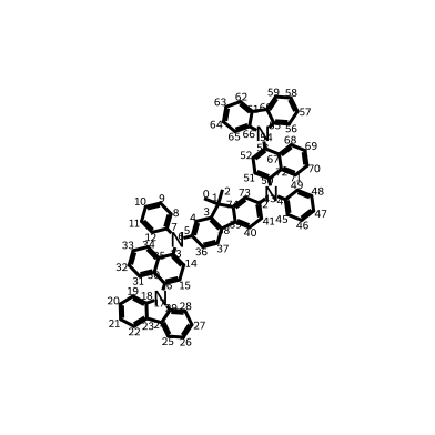 CC1(C)c2cc(N(c3ccccc3)c3ccc(-n4c5ccccc5c5ccccc54)c4ccccc34)ccc2-c2ccc(N(c3ccccc3)c3ccc(-n4c5ccccc5c5ccccc54)c4ccccc34)cc21